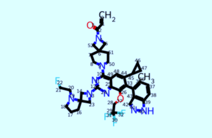 C=CC(=O)N1CC2(CCN(c3nc(N4CC5(CCCN5CCF)C4)nc4c(OCC(F)(F)F)c(-c5c(C)ccc6[nH]ncc56)c(C5CC5)cc34)CC2)C1